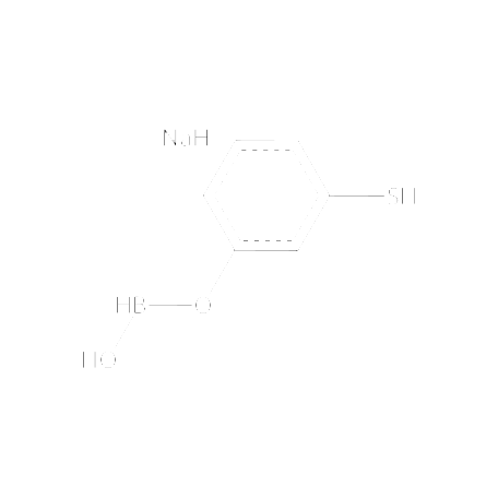 OBOc1cccc(S)c1.[NaH]